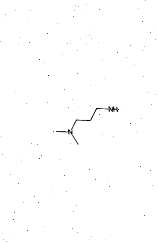 CN(C)CCC[NH]